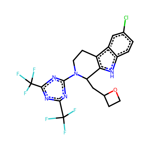 FC(F)(F)c1nc(N2CCc3c([nH]c4ccc(Cl)cc34)C2CC2CCO2)nc(C(F)(F)F)n1